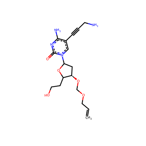 C=CCOCO[C@@H]1CC(n2cc(C#CCN)c(N)nc2=O)OC1CCO